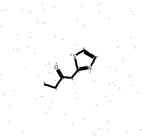 CCC(=O)Cc1nccs1